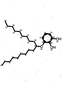 CCCCCCCCCC(CCCCCCCCC)Oc1cccc(O)c1O